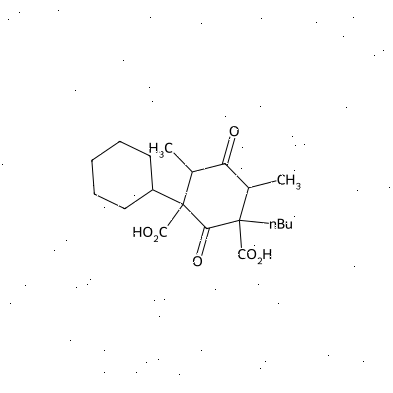 CCCCC1(C(=O)O)C(=O)C(C(=O)O)(C2CCCCC2)C(C)C(=O)C1C